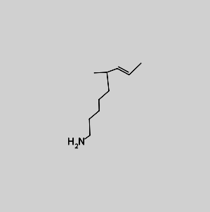 CC=CC(C)CCCCCN